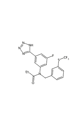 CCC(=O)N(Cc1cccc(SC(F)(F)F)c1)c1cc(F)cc(-c2nnn[nH]2)c1